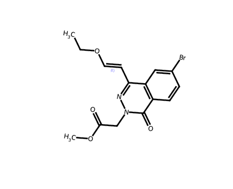 CCO/C=C/c1nn(CC(=O)OC)c(=O)c2ccc(Br)cc12